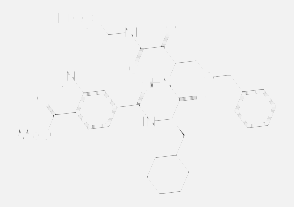 CCOC(=O)CNC(=O)C(=O)C(COCc1ccccc1)NC(=O)[C@@H](CC1CCCCC1)NC(=O)c1ccc(C(=O)OC)c(N)c1